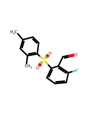 Cc1ccc(S(=O)(=O)c2cccc(F)c2C=O)c(C)c1